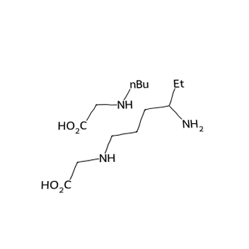 CCC(N)CCCNCC(=O)O.CCCCNCC(=O)O